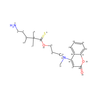 CC(CCN)C(C)(C)C(=S)OCCCN(C)c1cc(=O)oc2ccccc12